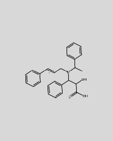 CC(c1ccccc1)N(C/C=C/c1ccccc1)C(c1ccccc1)C(O)C(=O)O